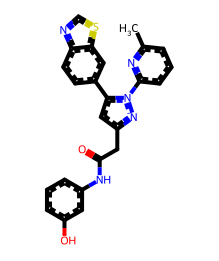 Cc1cccc(-n2nc(CC(=O)Nc3cccc(O)c3)cc2-c2ccc3ncsc3c2)n1